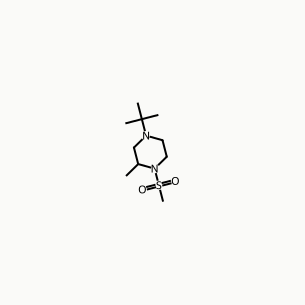 CC1CN(C(C)(C)C)CCN1S(C)(=O)=O